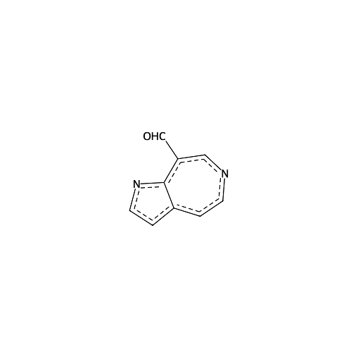 O=Cc1cnccc2ccnc1-2